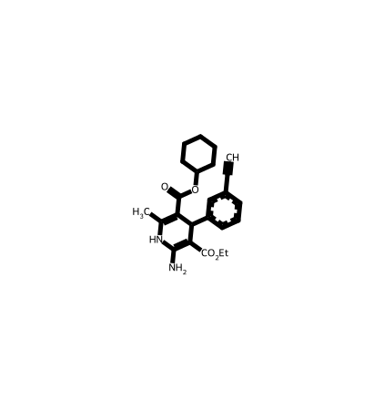 C#Cc1cccc(C2C(C(=O)OC3CCCCC3)=C(C)NC(N)=C2C(=O)OCC)c1